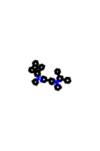 c1ccc(-c2cc(-c3ccccc3)cc(N(c3ccccc3)c3ccc(-c4ccc(N(c5ccccc5)c5ccc6c(c5)-c5ccccc5C65c6ccccc6-c6ccccc65)cc4)cc3)c2)cc1